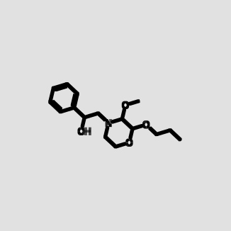 CCCOC1OCCN(CC(O)c2ccccc2)C1OC